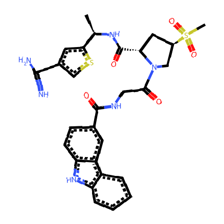 C[C@@H](NC(=O)[C@@H]1C[C@@H](S(C)(=O)=O)CN1C(=O)CNC(=O)c1ccc2[nH]c3ccccc3c2c1)c1cc(C(=N)N)cs1